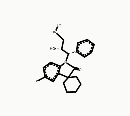 CCNC[C@@H](O)[C@H](c1ccccc1)N1C(=O)C2(CCCCC2)c2cc(F)ccc21